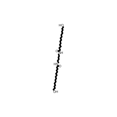 O=C(CCCCCCCCCCCCCCCO)NCCCCCCNC(=O)CCCCCCCCCCCCCCCO